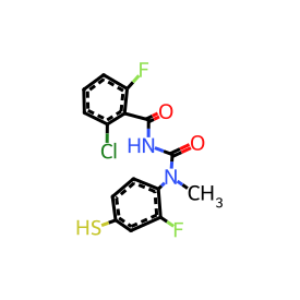 CN(C(=O)NC(=O)c1c(F)cccc1Cl)c1ccc(S)cc1F